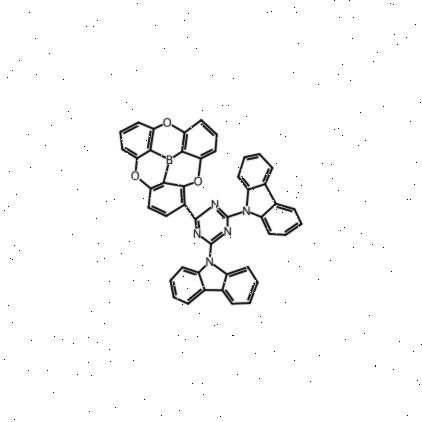 c1cc2c3c(c1)Oc1ccc(-c4nc(-n5c6ccccc6c6ccccc65)nc(-n5c6ccccc6c6ccccc65)n4)c4c1B3c1c(cccc1O4)O2